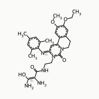 CCOc1cc2c(cc1OC)-c1c/c(=N\c3c(C)cc(C)cc3C)n(CCNC(=O)/C(N)=C(/N)O)c(=O)n1CC2